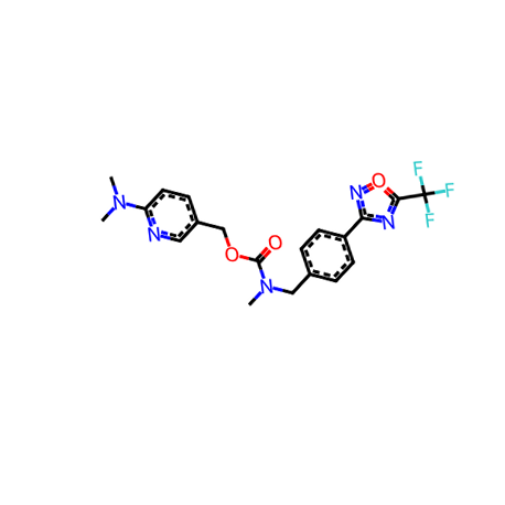 CN(Cc1ccc(-c2noc(C(F)(F)F)n2)cc1)C(=O)OCc1ccc(N(C)C)nc1